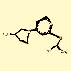 CC(C)Nc1cc(N2CC[C@@H](N)C2)ccn1